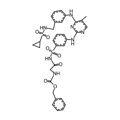 Cc1cnc(Nc2cccc(S(=O)(=O)NC(=O)CNC(=O)OCc3ccccc3)c2)nc1Nc1cccc(CNS(=O)(=O)C2CC2)c1